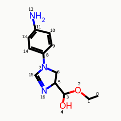 CCOC(O)C1CN(c2ccc(N)cc2)C=N1